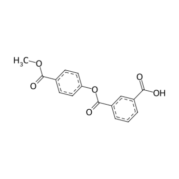 COC(=O)c1ccc(OC(=O)c2cccc(C(=O)O)c2)cc1